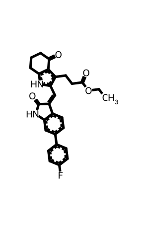 CCOC(=O)CCc1c(/C=C2\C(=O)Nc3cc(-c4ccc(F)cc4)ccc32)[nH]c2c1C(=O)CCC2